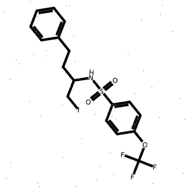 O=S(=O)(NC(CI)CCc1ccccc1)c1ccc(OC(F)(F)F)cc1